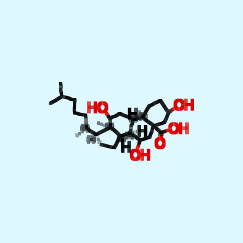 CC(C)CCC[C@@H](C)[C@H]1CC[C@H]2[C@@H]3C(O)CC4(C(=O)O)CC(O)CC[C@]4(C)[C@H]3CC(O)[C@]12C